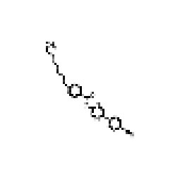 CCCCCCCCc1ccc(C(=O)Oc2cnc(-c3ccc(C#N)cc3)cn2)cc1